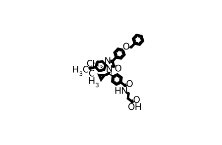 CC(C)(C)C1CCC2(CC1)N=C(c1ccc(OCc3ccccc3)cc1)C(=O)N2[C@@H](c1ccc(C(=O)NCCC(=O)O)cc1)C1CC1